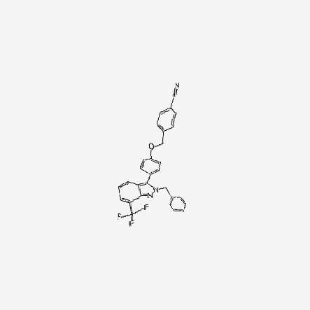 N#Cc1ccc(COc2ccc(-c3c4cccc(C(F)(F)F)c4nn3Cc3ccccc3)cc2)cc1